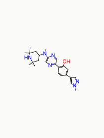 CN(c1cnc(-c2ccc(-c3cnn(C)c3)cc2O)cn1)C1CC(C)(C)NC(C)(C)C1